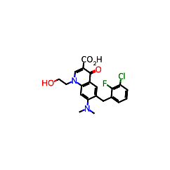 CN(C)c1cc2c(cc1Cc1cccc(Cl)c1F)c(=O)c(C(=O)O)cn2CCO